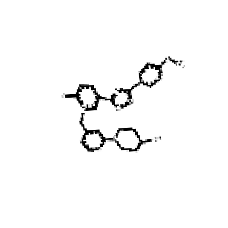 O=c1ccc(-c2nc(-c3ccc(OC(F)(F)F)cc3)no2)cn1Cc1ccnc(N2CCC(O)CC2)c1